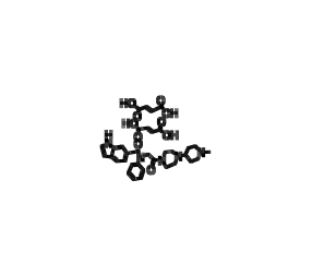 CN1CCC(N2CCN(C(=O)CN(C(=O)c3ccc4cc[nH]c4c3)c3ccccc3)CC2)CC1.O=C(O)/C=C/C(=O)O.O=C(O)/C=C/C(=O)O